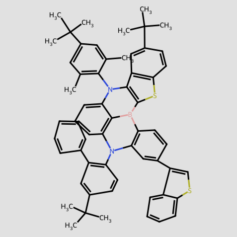 Cc1cc(C(C)(C)C)cc(C)c1N1c2cccc3c2B(c2ccc(-c4csc5ccccc45)cc2N3c2ccc(C(C)(C)C)cc2-c2ccccc2)c2sc3ccc(C(C)(C)C)cc3c21